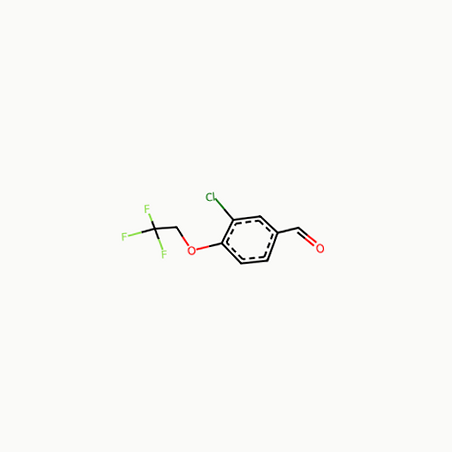 O=Cc1ccc(OCC(F)(F)F)c(Cl)c1